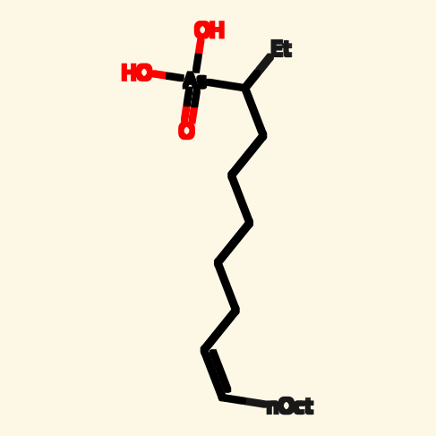 CCCCCCCC/C=C\CCCCCC(CC)[As](=O)(O)O